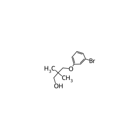 CC(C)(CO)COc1cccc(Br)c1